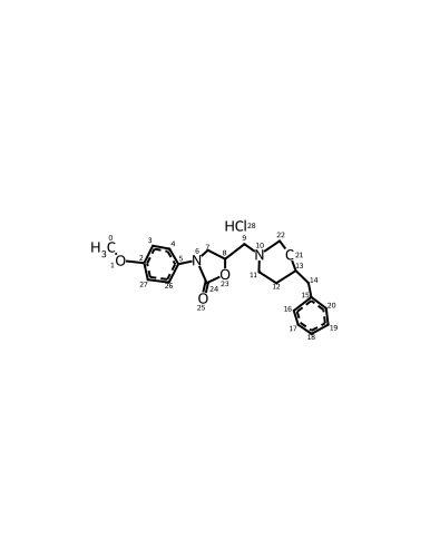 COc1ccc(N2CC(CN3CCC(Cc4ccccc4)CC3)OC2=O)cc1.Cl